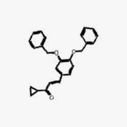 O=C(C=Cc1ccc(OCc2ccccc2)c(OCc2ccccc2)c1)C1CC1